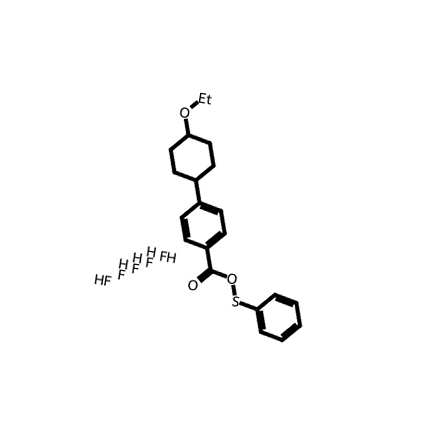 CCOC1CCC(c2ccc(C(=O)OSc3ccccc3)cc2)CC1.F.F.F.F.F